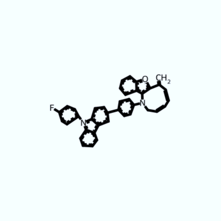 C=C1/C=C\C=C/CN(c2ccc(-c3ccc4c(c3)c3ccccc3n4-c3ccc(F)cc3)cc2)c2c1oc1ccccc21